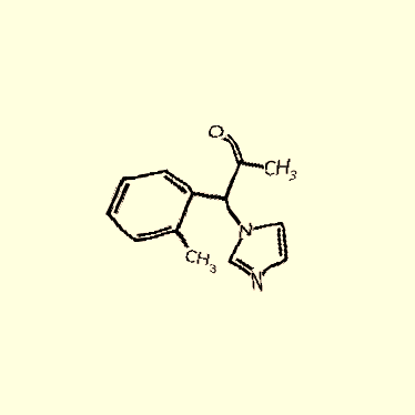 CC(=O)C(c1ccccc1C)n1ccnc1